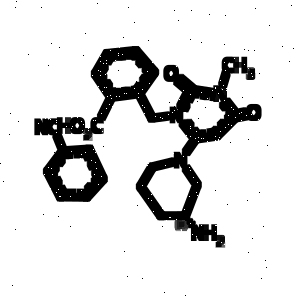 Cn1c(=O)cc(N2CCC[C@@H](N)C2)n(Cc2ccccc2C(=O)O)c1=O.N#Cc1ccccc1